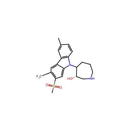 Cc1ccc2c(c1)c1cc(C(F)(F)F)c(S(C)(=O)=O)cc1n2C1CCCNC[C@@H]1O